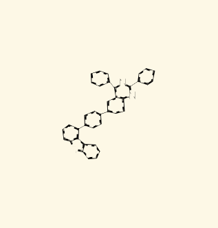 c1ccc(-c2nc(-c3ccccc3)c3cc(-c4ccc(-c5cccc6sc7ccccc7c56)cc4)ccc3n2)cc1